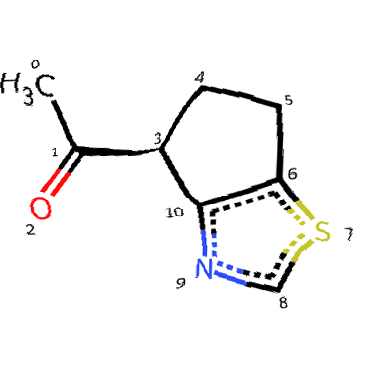 CC(=O)[C@H]1CCc2scnc21